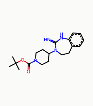 CC(C)(C)OC(=O)N1CCC(N2CCc3ccccc3NC2=N)CC1